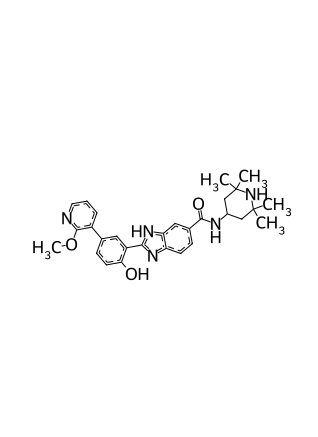 COc1ncccc1-c1ccc(O)c(-c2nc3ccc(C(=O)NC4CC(C)(C)NC(C)(C)C4)cc3[nH]2)c1